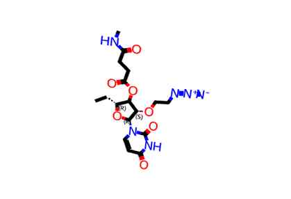 CC[C@H]1O[C@@H](n2ccc(=O)[nH]c2=O)[C@@H](OCCN=[N+]=[N-])C1OC(=O)CCC(=O)NC